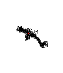 Cc1nccc(-c2ccc(C[C@H](NC(=O)[C@@H]3Cc4cc5c(cc4CN3C(=O)c3ncco3)O[C@@H](c3ccc(OCc4ccc(Cl)c(Cl)c4)cc3)CO5)C(=O)O)cc2)c1C